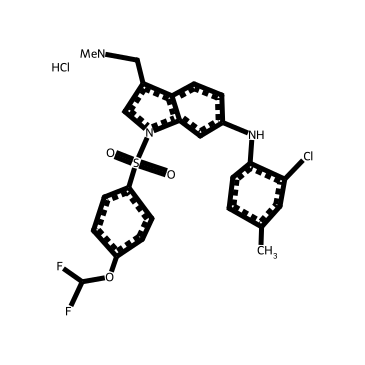 CNCc1cn(S(=O)(=O)c2ccc(OC(F)F)cc2)c2cc(Nc3ccc(C)cc3Cl)ccc12.Cl